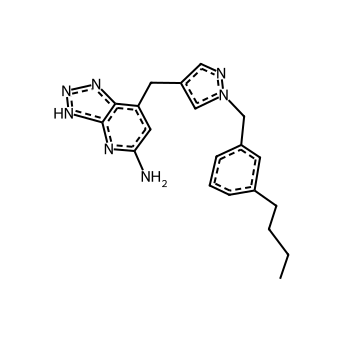 CCCCc1cccc(Cn2cc(Cc3cc(N)nc4[nH]nnc34)cn2)c1